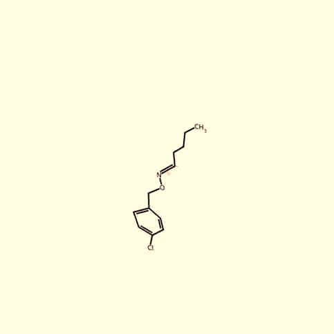 CCCC/[C]=N/OCc1ccc(Cl)cc1